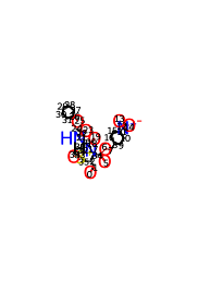 O=CC1=C(C(=O)OCc2ccc([N+](=O)[O-])cc2)N2C(=O)C(NC(=O)COc3ccccc3)[C@@H]2[S+]([O-])C1